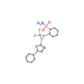 NS(=O)(=O)c1ccccc1C1C(c2ncc(-c3ccccc3)o2)C1(F)F